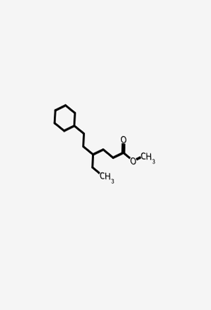 CCC(CCC(=O)OC)CCC1CCCCC1